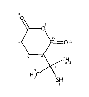 CC(C)(S)C1CCC(=O)OC1=O